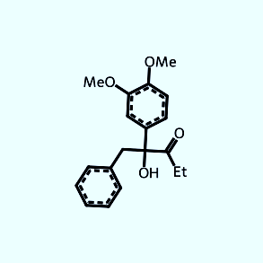 CCC(=O)C(O)(Cc1ccccc1)c1ccc(OC)c(OC)c1